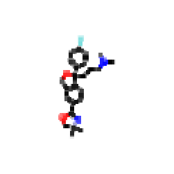 CN(C)CCCC1(c2ccc(F)cc2)OCc2cc(C3=NC(C)(C)CO3)ccc21